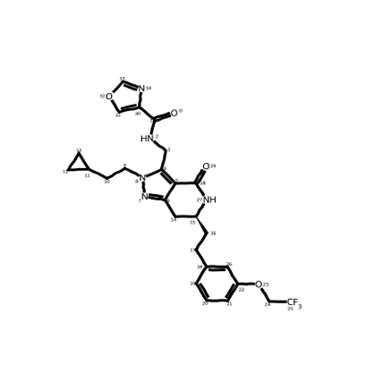 O=C(NCc1c2c(nn1CCC1CC1)C[C@H](CCc1cccc(OCC(F)(F)F)c1)NC2=O)c1cocn1